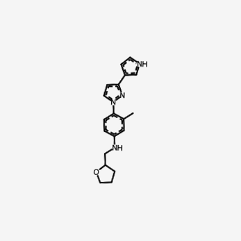 Cc1cc(NCC2CCCO2)ccc1-n1ccc(-c2cc[nH]c2)n1